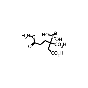 NOC(=O)CCC(CC(=O)O)(C(=O)O)P(=O)(O)O